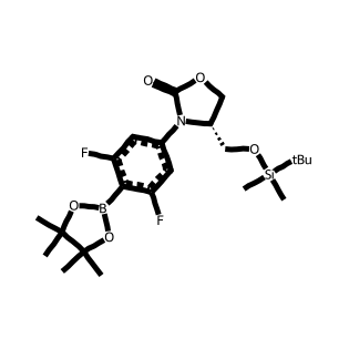 CC1(C)OB(c2c(F)cc(N3C(=O)OC[C@@H]3CO[Si](C)(C)C(C)(C)C)cc2F)OC1(C)C